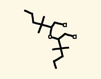 CCCC(C)(C)C(CCl)OC(CCl)C(C)(C)CCC